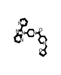 O=C(C1CCN(CC2CC=CO2)CC1)N1CCC(n2c(-c3ccccn3)nc3cccnc32)CC1